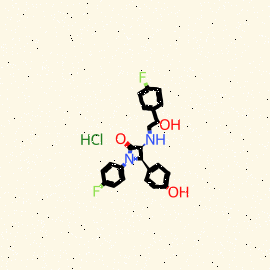 Cl.O=C1[C@H](NC[C@H](O)c2ccc(F)cc2)[C@@H](c2ccc(O)cc2)N1c1ccc(F)cc1